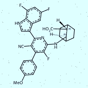 COc1ccc(-c2c(F)c(N[C@@H]3C4CCC(CC4)[C@H]3C(=O)O)nc(-c3c[nH]c4c(F)cc(F)cc34)c2C#N)cc1